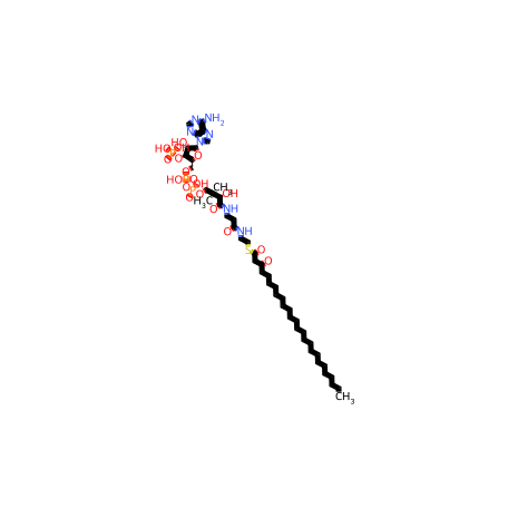 CCCCCCCCCCCCCCCCCCCCCCCC(=O)CC(=O)SCCNC(=O)CCNC(=O)[C@H](O)C(C)(C)COP(=O)(O)OP(=O)(O)OC[C@H]1O[C@@H](n2cnc3c(N)ncnc32)[C@H](O)[C@@H]1OP(=O)(O)O